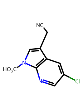 N#CCc1cn(C(=O)O)c2ncc(Cl)cc12